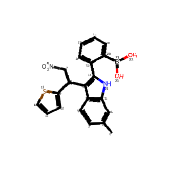 Cc1ccc2c(C(C[N+](=O)[O-])c3cccs3)c(-c3ccccc3B(O)O)[nH]c2c1